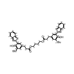 CC(C)(C)c1cc(CCC(=O)OCCCCOC(=O)CCc2cc(-n3nc4ccccc4n3)c(O)c(C(C)(C)C)c2)cc(-n2nc3ccccc3n2)c1O